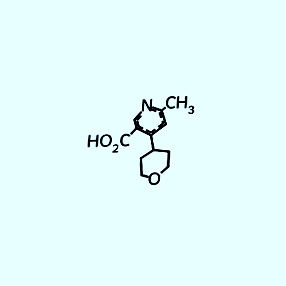 Cc1cc(C2CCOCC2)c(C(=O)O)cn1